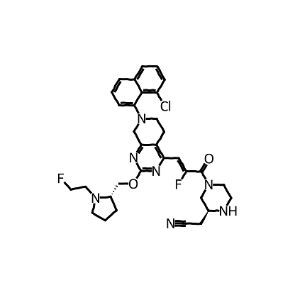 N#CC[C@H]1CN(C(=O)C(F)=Cc2nc(OC[C@@H]3CCCN3CCF)nc3c2CCN(c2cccc4cccc(Cl)c24)C3)CCN1